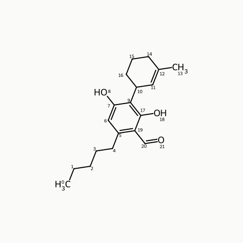 CCCCCc1cc(O)c(C2C=C(C)CCC2)c(O)c1C=O